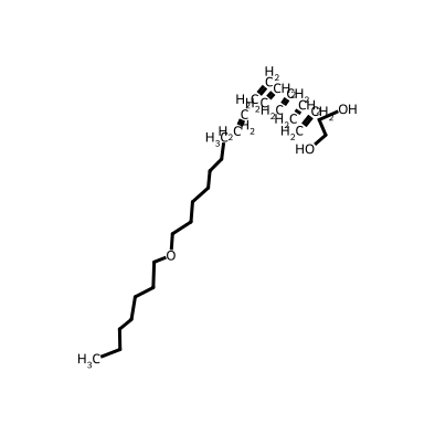 C=C.C=C.C=C.C=C.C=C.C=C.CCCCCCCOCCCCCCC.OCCO